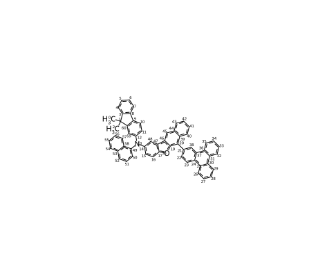 CC1(C)c2ccccc2-c2ccc(N(c3ccc4oc5c(-c6ccc7c8ccccc8c8ccccc8c7c6)c6ccccc6cc5c4c3)c3cccc4ccccc34)cc21